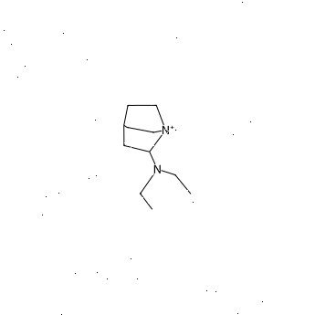 CCN(CC)C1CC2CC[N+]1CC2